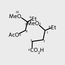 CCC(CCC(=O)O)OC.CCC(COC(C)=O)OC